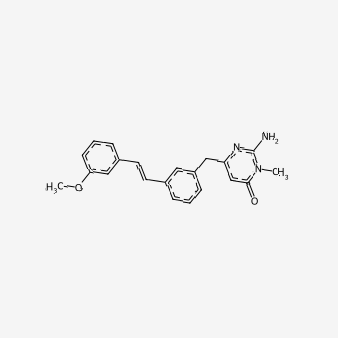 COc1cccc(C=Cc2cccc(Cc3cc(=O)n(C)c(N)n3)c2)c1